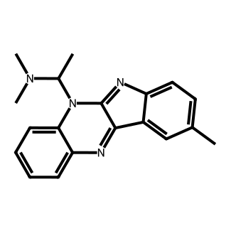 Cc1ccc2nc3n(C(C)N(C)C)c4ccccc4nc-3c2c1